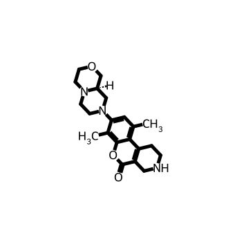 Cc1c(N2CCN3CCOC[C@H]3C2)cc(C)c2c3c(c(=O)oc12)CNCC3